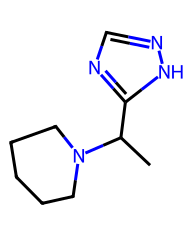 CC(c1ncn[nH]1)N1CCCCC1